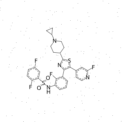 O=S(=O)(Nc1cccc(-c2nc(C3CCN(C4CC4)CC3)sc2-c2ccnc(F)c2)c1F)c1cc(F)ccc1F